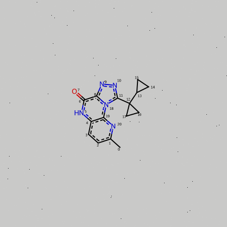 Cc1ccc2[nH]c(=O)c3nnc(C4(C5CC5)CC4)n3c2n1